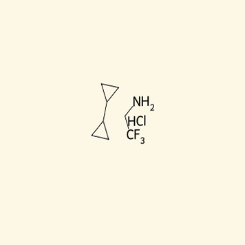 C1CC1C1CC1.Cl.NCC(F)(F)F